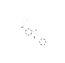 O=C(c1ccc2c(c1)C(=O)N(Cc1ccccc1)C2=O)N1CCCO1